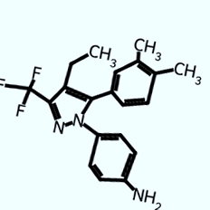 CCc1c(C(F)(F)F)nn(-c2ccc(N)cc2)c1-c1ccc(C)c(C)c1